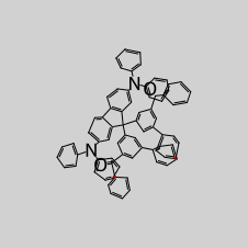 O=C(c1ccccc1)c1cc(-c2ccccc2)cc(C2(c3cc(C(=O)c4ccccc4)cc(-c4ccccc4)c3)c3cc(N(c4ccccc4)c4ccccc4)ccc3-c3ccc(N(c4ccccc4)c4ccccc4)cc32)c1